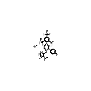 C[C@@H](O[C@H]1OCCN(Cc2nnn(C)c2N(C)C)[C@H]1c1ccc(F)cc1)c1cc(C(F)(F)F)cc(C(F)(F)F)c1.Cl